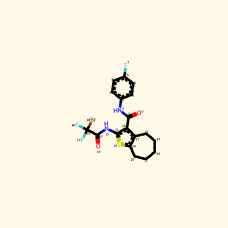 O=C(Nc1ccc(F)cc1)c1c(NC(=O)C(F)(F)Br)sc2c1CCCCC2